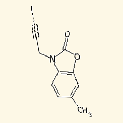 Cc1ccc2c(c1)oc(=O)n2CC#CI